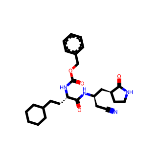 N#CC[C@H](C[C@@H]1CCNC1=O)NC(=O)[C@H](CCC1CCCCC1)NC(=O)OCc1ccccc1